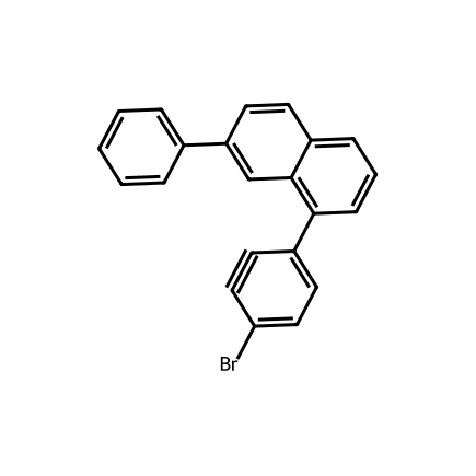 Brc1c#cc(-c2cccc3ccc(-c4ccccc4)cc23)cc1